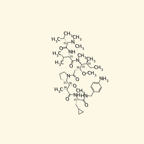 CC[C@H](C)[C@@H]([C@@H](CC(=O)N1CCC[C@H]1[C@H](OC)[C@@H](C)C(=O)N[C@@H](CC1CC1)C(=O)NCc1ccc(N)cc1)OC)N(C)C(=O)[C@@H](NC(=O)[C@H](C(C)C)N(C)C)C(C)C